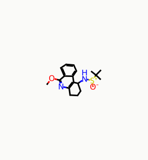 COc1nc2c(c3ccccc13)C(N[S@+]([O-])C(C)(C)C)CCC2